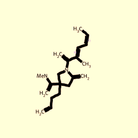 C=CCCC1(C(=C)NC)CC(=C)N(C(=C)/C(C)=C/C=C\C)C1